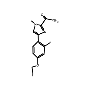 Cn1cc(-c2ccc(OCF)cc2F)nc1C(N)=O